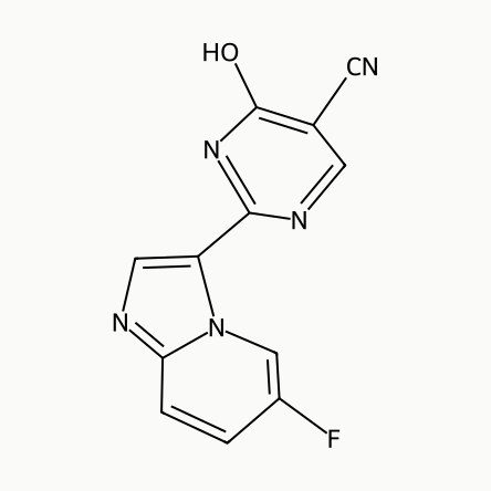 N#Cc1cnc(-c2cnc3ccc(F)cn23)nc1O